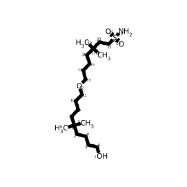 CC(C)(CCCCO)CCCCOCCCCC(C)(C)CCS(N)(=O)=O